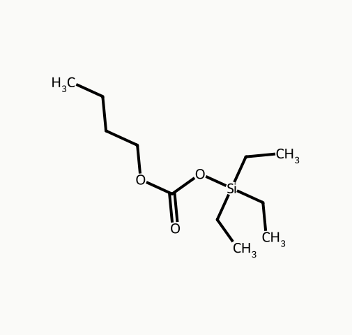 CCCCOC(=O)O[Si](CC)(CC)CC